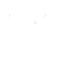 Fc1ccc(SC=CC(=Nc2ccccc2F)c2ccc(Cl)cc2)cc1